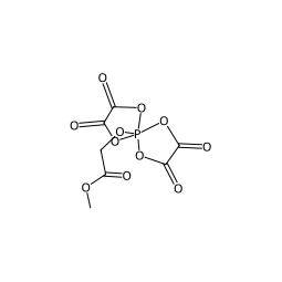 COC(=O)COP12(OC(=O)C(=O)O1)OC(=O)C(=O)O2